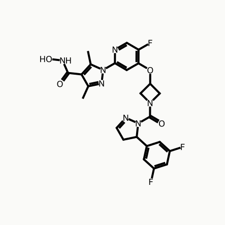 Cc1nn(-c2cc(OC3CN(C(=O)N4N=CCC4c4cc(F)cc(F)c4)C3)c(F)cn2)c(C)c1C(=O)NO